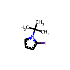 CC(C)(C)n1cccc1I